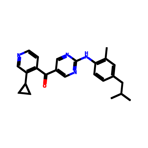 Cc1cc(CC(C)C)ccc1Nc1ncc(C(=O)c2ccncc2C2CC2)cn1